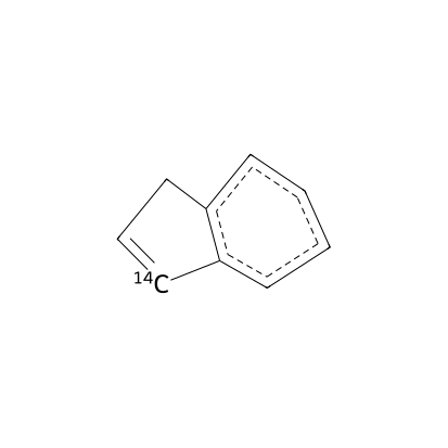 C1=[14CH]c2ccccc2C1